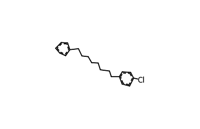 Clc1ccc(CCCCCCCCc2ccccc2)cc1